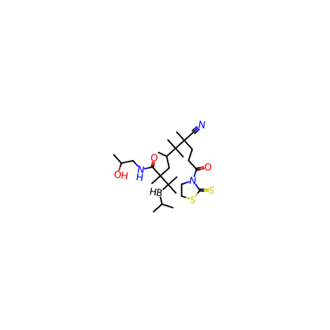 CC(C)BC(C)(C)C(C)(CC(C)C(C)(C)C(C)(C#N)CCC(=O)N1CCSC1=S)C(=O)NCC(C)O